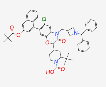 CC(C)(C)C(=O)Oc1cc(-c2cc3c(cc2Cl)N(CC2CN(C(c4ccccc4)c4ccccc4)C2)C(=O)C(C2CCN(C(=O)O)C(C(C)(C)C)C2)O3)c2ccccc2c1